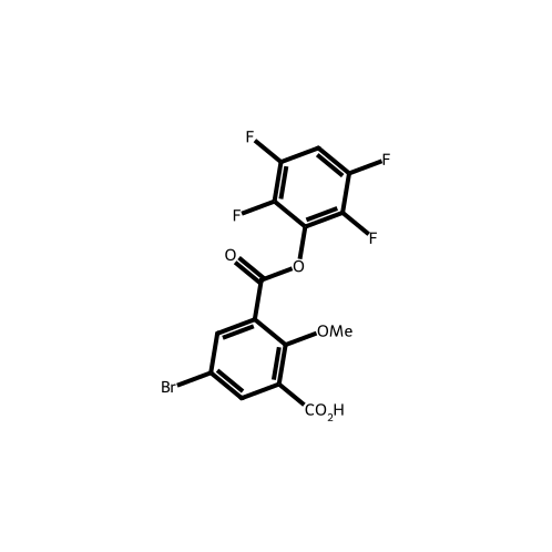 COc1c(C(=O)O)cc(Br)cc1C(=O)Oc1c(F)c(F)cc(F)c1F